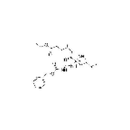 CCOC(=O)CCC(C)CC(=O)[C@@](N)(CCSC)NCNC(=O)OCc1ccccc1